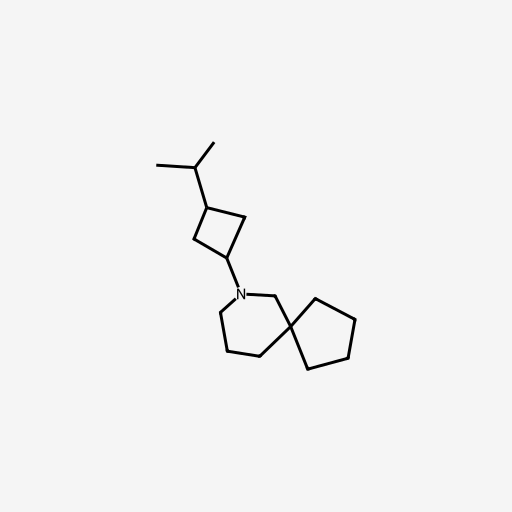 CC(C)C1CC(N2CCCC3(CCCC3)C2)C1